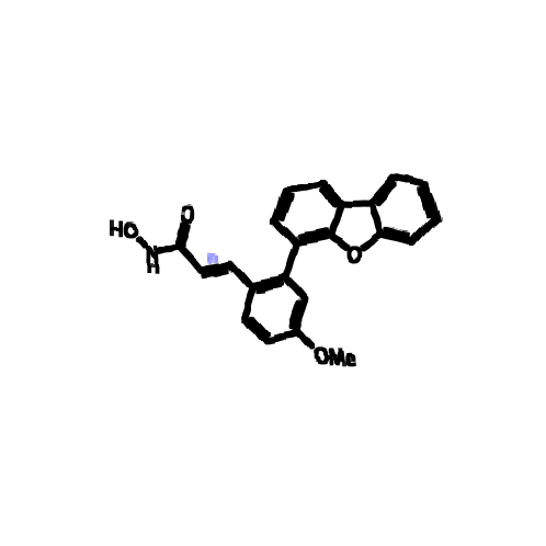 COc1ccc(/C=C/C(=O)NO)c(-c2cccc3c2oc2ccccc23)c1